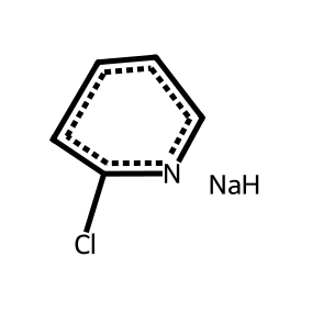 Clc1ccccn1.[NaH]